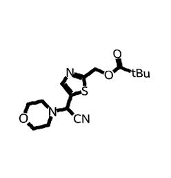 CC(C)(C)C(=O)OCc1ncc(C(C#N)N2CCOCC2)s1